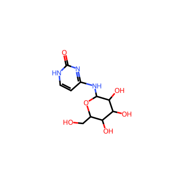 O=c1nc(NC2OC(CO)C(O)C(O)C2O)cc[nH]1